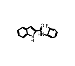 O=C(Nc1ccccc1F)c1cc2ccccc2[nH]1